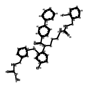 CC(C)(C)OC(=O)NCc1cccc(Oc2cc(Cl)ccc2N(CCCNC(=O)NCc2ccccc2F)C(=O)c2ccc(-c3ccccc3)cc2)c1